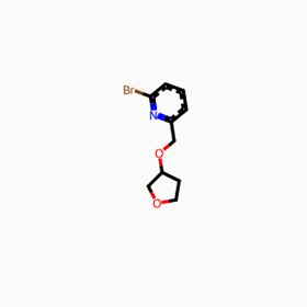 Brc1cccc(COC2CCOC2)n1